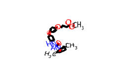 COC(=O)CCCOc1ccc(OC2CCC(NC(=O)NC34CC5C[C@@](C)(C3)C[C@](C)(C5)C4)CC2)cc1